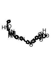 O=C1CC[C@H](N2C(=O)c3ccc(N4CCC(C(=O)N5CCC(CCN6CCN(c7ccc(Nc8ncnc9c8ncn9C8CC(NC(=O)Cc9ccccc9)C8)cc7)CC6)CC5)CC4)cc3C2=O)C(=O)N1